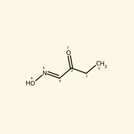 CCC(=O)C=NO